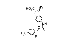 CC(C)OC(Cc1ccc(NC(=O)OCc2ccc(C(F)(F)F)cc2F)cc1)C(=O)O